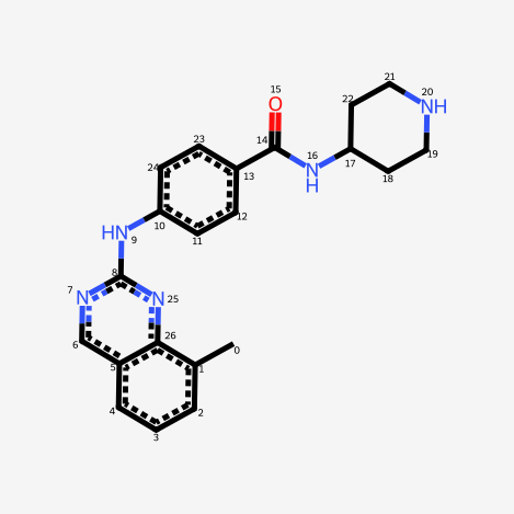 Cc1cccc2cnc(Nc3ccc(C(=O)NC4CCNCC4)cc3)nc12